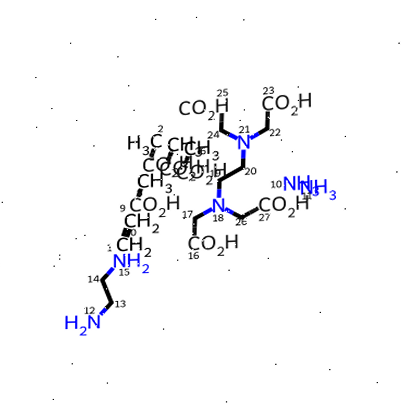 C=C.CC(=O)O.CC(=O)O.CC(=O)O.CC(=O)O.N.N.NCCN.O=C(O)CN(CCN(CC(=O)O)CC(=O)O)CC(=O)O